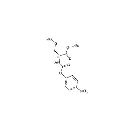 CCCCOC[C@H](NC(=O)Oc1ccc([N+](=O)[O-])cc1)C(=O)OCCCC